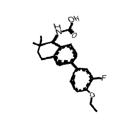 CCOc1ccc(-c2ccc3c(c2)CCC(C)(C)C3NC(=O)O)cc1F